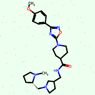 COc1ccc(-c2noc(N3CCC(C(=O)NCC4CCN(C[C@@H]5CCCN5C)C4)CC3)n2)cc1